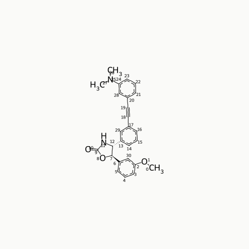 COc1cccc([C@H]2OC(=O)N[C@@H]2c2cccc(C#Cc3cccc(N(C)C)c3)c2)c1